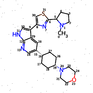 CN1CCCC1c1nc(-c2c[nH]c3ncc([C@H]4CC[C@@H](N5CCOCC5)CC4)cc23)cs1